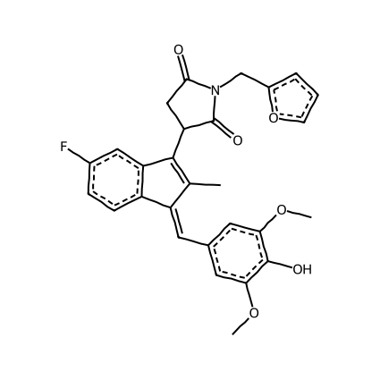 COc1cc(C=C2C(C)=C(C3CC(=O)N(Cc4ccco4)C3=O)c3cc(F)ccc32)cc(OC)c1O